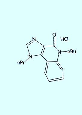 CCCCn1c(=O)c2ncn(CCC)c2c2ccccc21.Cl